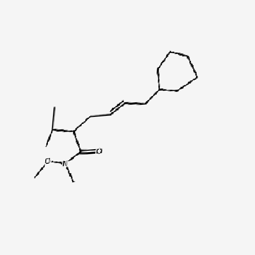 CON(C)C(=O)C(C/C=C/CC1CCCCC1)C(C)C